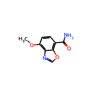 COc1ccc(C(N)=O)c2ocnc12